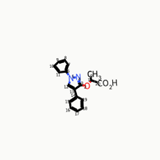 CC(Oc1nn(-c2ccccc2)cc1-c1ccccc1)C(=O)O